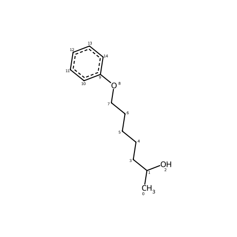 CC(O)CCCCCOc1ccccc1